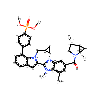 CCOP(=O)(OCC)c1ccc(-c2cccc3cc(-c4nc5cc(C(=O)N6C[C@H](C)C7C[C@H]76)cc(OC)c5n4C)n(CC4CC4)c23)cc1